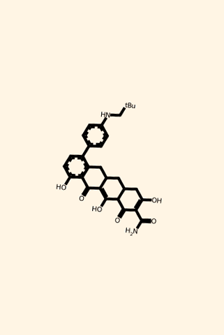 CC(C)(C)CNc1ccc(-c2ccc(O)c3c2CC2CC4CC(O)=C(C(N)=O)C(=O)C4C(O)=C2C3=O)cc1